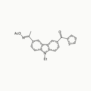 CCn1c2ccc(C(=O)c3cccs3)cc2c2cc(/C(C)=N/OC(C)=O)ccc21